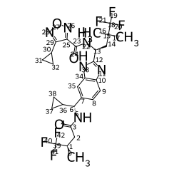 C[C@H](CC(=O)N[C@@H](c1ccc2nc([C@H](CC(C)(C)C(F)(F)F)NC(=O)c3nonc3C3CC3)[nH]c2c1)C1CC1)C(F)(F)F